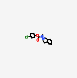 CN(C(=O)Oc1ccc(Cl)cc1)N1CCc2ccccc2C1